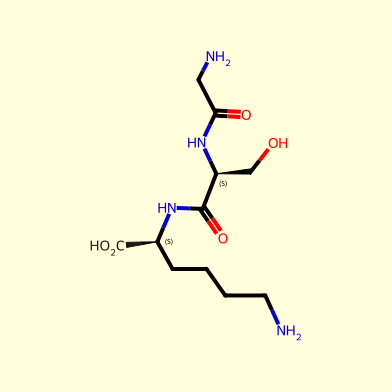 NCCCC[C@H](NC(=O)[C@H](CO)NC(=O)CN)C(=O)O